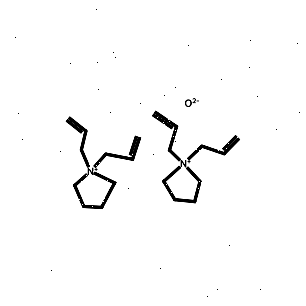 C=CC[N+]1(CC=C)CCCC1.C=CC[N+]1(CC=C)CCCC1.[O-2]